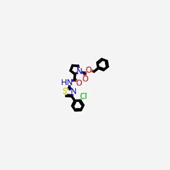 O=C(Nc1nc(-c2ccccc2Cl)cs1)C1CCCN1C(=O)OCc1ccccc1